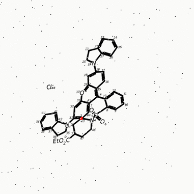 CCOC(=O)C1CCN(S(=O)(=O)c2ccccc2-c2c3ccc(N4CCc5ccccc54)cc3[o+]c3cc(N4CCc5ccccc54)ccc23)CC1.[Cl-]